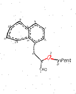 CCCCCOC(C=O)Cc1cccc2ccccc12